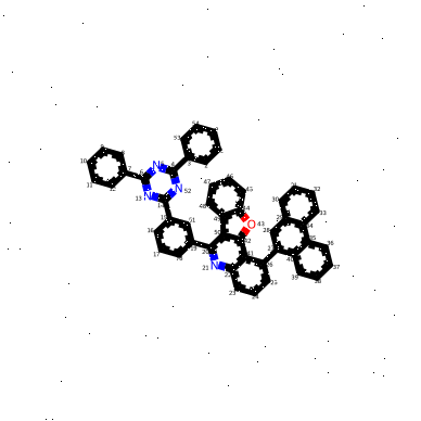 c1ccc(-c2nc(-c3ccccc3)nc(-c3cccc(-c4nc5cccc(-c6cc7ccccc7c7ccccc67)c5c5oc6ccccc6c45)c3)n2)cc1